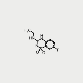 CCNC1=NS(=O)(=O)c2cc(F)ccc2N1